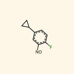 O=Nc1cc(C2CC2)ccc1F